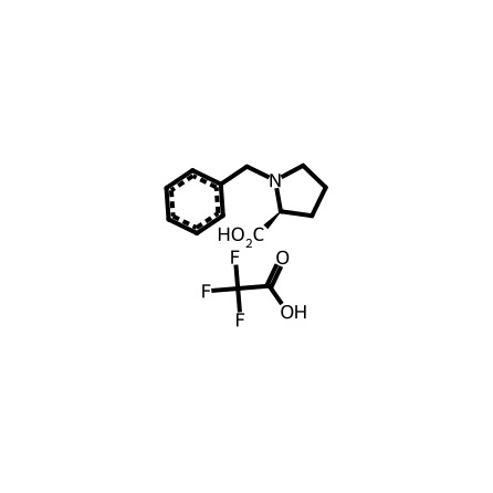 O=C(O)C(F)(F)F.O=C(O)[C@@H]1CCCN1Cc1ccccc1